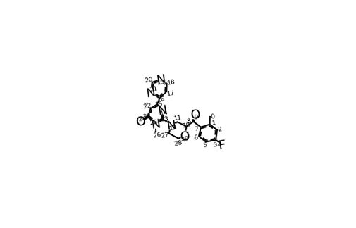 Cc1cc(F)ccc1C(=O)C1CN(c2nc(-c3ccncn3)cc(=O)n2C)CCO1